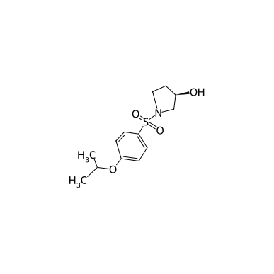 CC(C)Oc1ccc(S(=O)(=O)N2CC[C@@H](O)C2)cc1